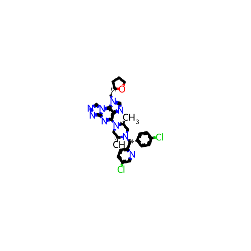 C[C@@H]1CN(c2nc3nncn3c3c2ncn3C[C@@H]2CCCO2)[C@@H](C)CN1[C@H](c1ccc(Cl)cc1)c1ccc(Cl)cn1